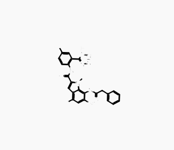 Cn1c(C(=O)Nc2ccc(Cl)cc2-c2nnn[nH]2)cc2c(Br)cc(Br)c(NC(=O)Cc3ccccc3)c21